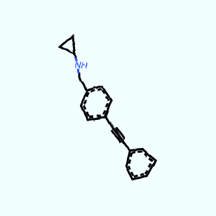 C(#Cc1ccc(CNC2CC2)cc1)c1ccccc1